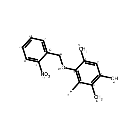 Cc1cc(O)c(C)c(F)c1OCc1ccccc1[N+](=O)[O-]